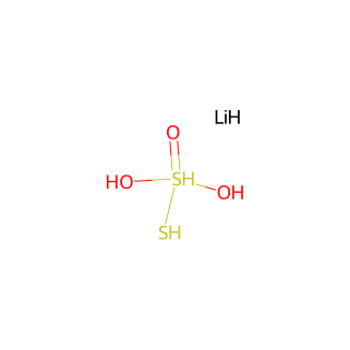 O=[SH](O)(O)S.[LiH]